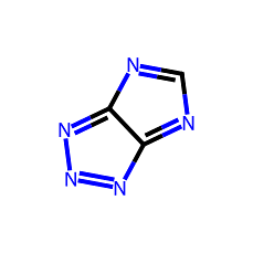 C1=NC2=NN=NC2=N1